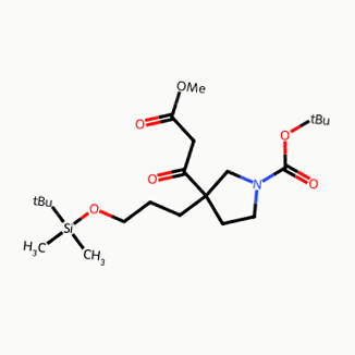 COC(=O)CC(=O)C1(CCCO[Si](C)(C)C(C)(C)C)CCN(C(=O)OC(C)(C)C)C1